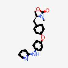 CN1C(=O)OC[C@@H]1Cc1ccc(Oc2ccc(Nc3ccccn3)cc2)cc1